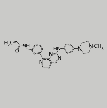 C=CC(=O)NCc1cccc(-c2nccc3cnc(Nc4ccc(N5CCN(C)CC5)cc4)nc23)c1